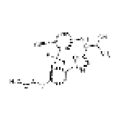 [C-]#[N+]c1ccc(N[C@@H](c2nnc(-c3ccc(SOOC)cc3)o2)C(C)O)cc1C(F)(F)F